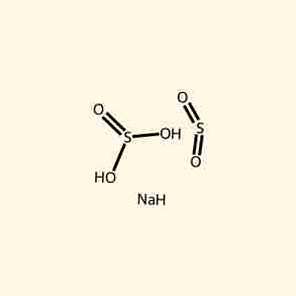 O=S(O)O.O=S=O.[NaH]